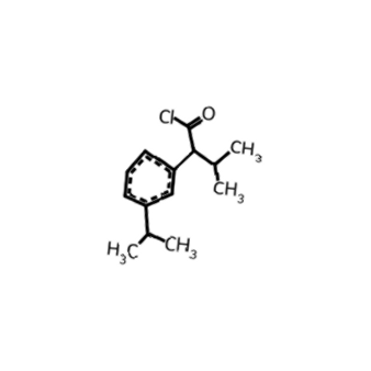 CC(C)c1cccc(C(C(=O)Cl)C(C)C)c1